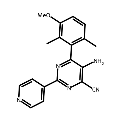 COc1ccc(C)c(-c2nc(-c3ccncc3)nc(C#N)c2N)c1C